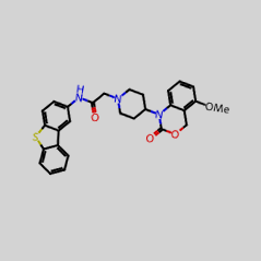 COc1cccc2c1COC(=O)N2C1CCN(CC(=O)Nc2ccc3sc4ccccc4c3c2)CC1